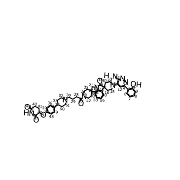 Nc1nnc(-c2ccccc2O)cc1N1CCC(C(=O)N2CC3(CCN(C(=O)CCCN4CCC(c5ccc(OC6CCC(=O)NC6=O)cc5)CC4)CC3)C2)(c2ccccc2)CC1